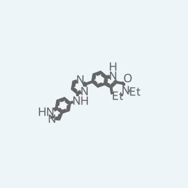 CCN(CC)C(=O)c1[nH]c2ccc(-c3nccc(Nc4ccc5[nH]ncc5c4)n3)cc2c1C